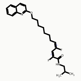 CC(C)CNC(=O)/C(F)=C\C(F)=C/CCCCCCCOc1ccc2ccccc2n1